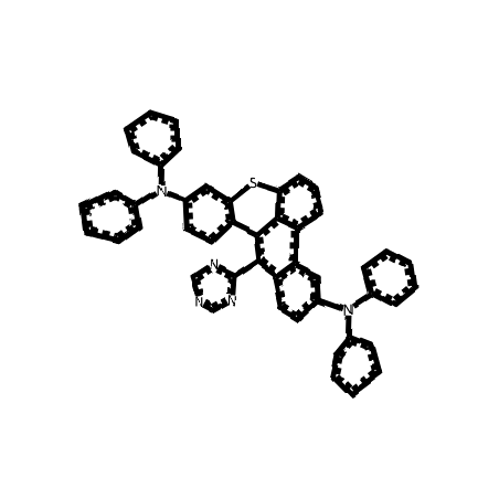 c1ccc(N(c2ccccc2)c2ccc3c(c2)Sc2cccc4c2c-3c(-c2ncncn2)c2ccc(N(c3ccccc3)c3ccccc3)cc24)cc1